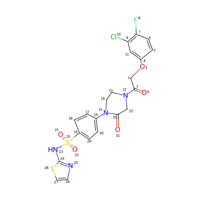 O=C(COc1ccc(F)c(Cl)c1)N1CCN(c2ccc(S(=O)(=O)Nc3nccs3)cc2)C(=O)C1